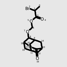 CC(Br)C(=O)OCOC1C2CC3CC(C2)C(=O)OC1C3